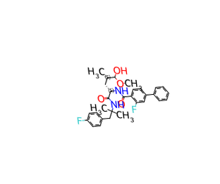 COC(O)[C@@H](C)C[C@H](NC(=O)c1ccc(-c2ccccc2)cc1F)C(=O)NC(C)(C)Cc1ccc(F)cc1